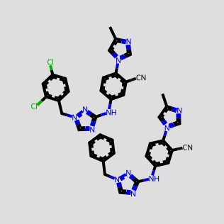 Cc1cn(-c2ccc(Nc3ncn(Cc4ccc(Cl)cc4Cl)n3)cc2C#N)cn1.Cc1cn(-c2ccc(Nc3ncn(Cc4ccccc4)n3)cc2C#N)cn1